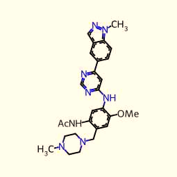 COc1cc(CN2CCN(C)CC2)c(NC(C)=O)cc1Nc1cc(-c2ccc3c(cnn3C)c2)ncn1